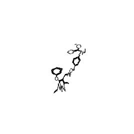 CCN(C(=O)OC)c1ccc(CON=Cc2c(C)nn(C)c2Oc2ccccc2)cc1